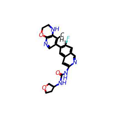 Cc1c(-c2cc3cc(NC(=O)NC4CCOC4)ncc3cc2F)cnc2c1NCCO2